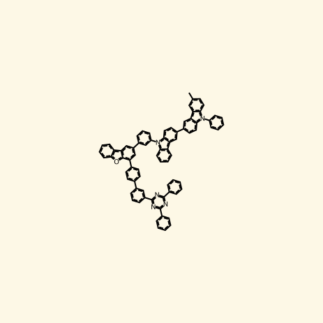 Cc1ccc2c(c1)c1cc(-c3ccc4c(c3)c3ccccc3n4-c3cccc(-c4cc(-c5ccc(-c6cccc(-c7nc(-c8ccccc8)nc(-c8ccccc8)n7)c6)cc5)c5oc6ccccc6c5c4)c3)ccc1n2-c1ccccc1